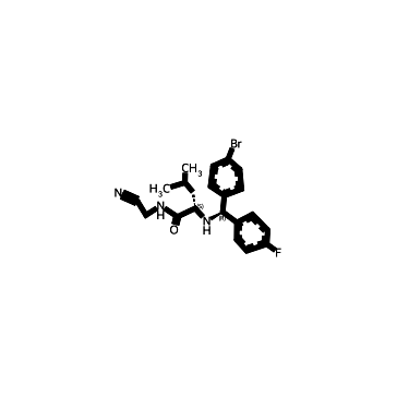 CC(C)C[C@H](N[C@H](c1ccc(F)cc1)c1ccc(Br)cc1)C(=O)NCC#N